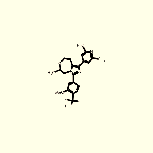 COc1cc(-c2nc(-c3cc(C)nc(C)c3)c3n2CC(C)OCC3)ccc1C(C)(F)F